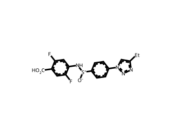 CCc1cn(-c2ccc([S+]([O-])Nc3cc(F)c(C(=O)O)cc3F)cc2)nn1